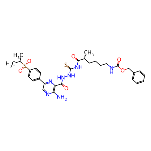 CC(C)S(=O)(=O)c1ccc(-c2cnc(N)c(C(=O)NNC(=S)NC(=O)[C@@H](C)CCCCNC(=O)OCc3ccccc3)n2)cc1